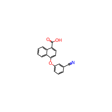 N#Cc1cccc(Oc2ccc(C(=O)O)c3ccccc23)c1